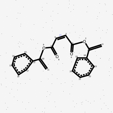 C=C(OC(=O)/C=C\C(=O)OC(=C)c1ccccc1)c1ccccc1